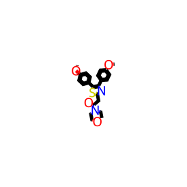 COc1ccc(-c2nc(CC(=O)N3CCOCC3)sc2-c2ccc(OC)cc2)cc1